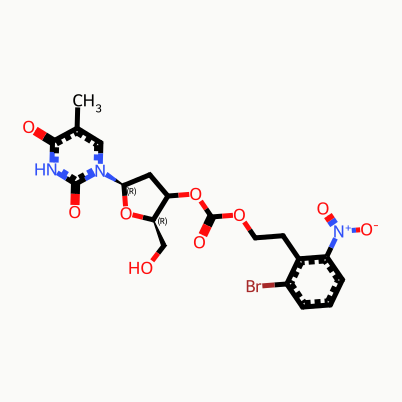 Cc1cn([C@H]2CC(OC(=O)OCCc3c(Br)cccc3[N+](=O)[O-])[C@@H](CO)O2)c(=O)[nH]c1=O